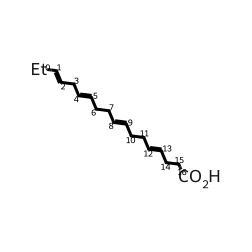 CCC=CCC=CCCC=CCCC=CCCC(=O)O